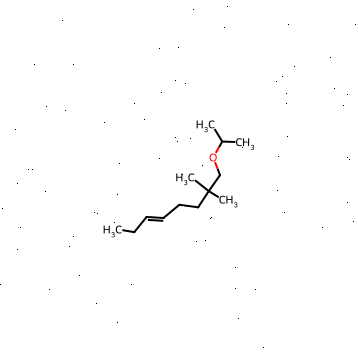 CC/C=C/CCC(C)(C)COC(C)C